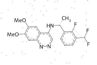 COc1cc2nncc(N[C@H](C)c3cccc(C(F)F)c3F)c2cc1OC